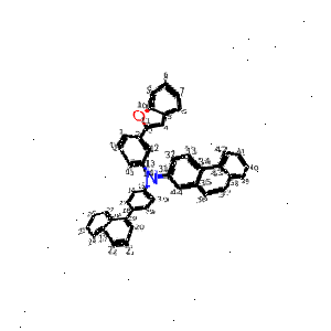 c1cc(-c2cc3ccccc3o2)cc(N(c2ccc(-c3cccc4ccccc34)cc2)c2ccc3c(ccc4ccccc43)c2)c1